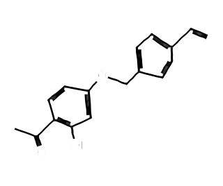 C=Cc1ccc(COc2ccc(C(C)=O)c(O)c2)cc1